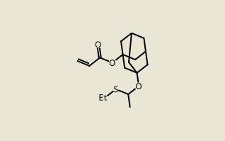 C=CC(=O)OC12CC3CC(C1)CC(OC(C)SCC)(C3)C2